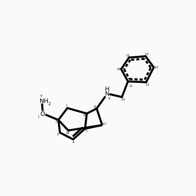 NOC12CC=C3C(C1)C(NCc1ccccc1)C3C2